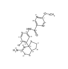 COc1cnc(C(=O)Nc2ccc(F)c(C34CCCC3CSC(N)=N4)c2)cn1